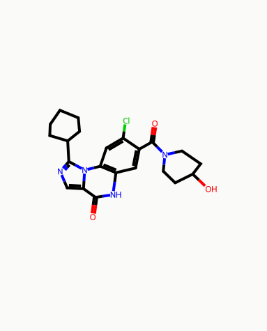 O=C(c1cc2[nH]c(=O)c3cnc(C4CCCCC4)n3c2cc1Cl)N1CCC(O)CC1